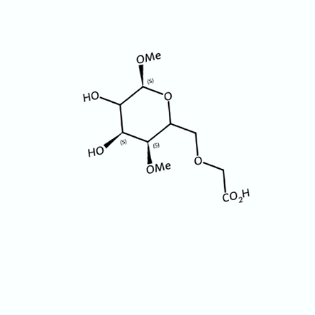 CO[C@H]1OC(COCC(=O)O)[C@@H](OC)[C@@H](O)C1O